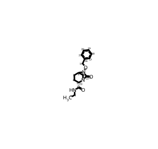 CCNC(=O)[C@@H]1CCC2CN1C(=O)N2OCc1ccccc1